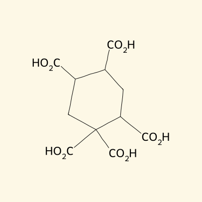 O=C(O)C1CC(C(=O)O)C(C(=O)O)(C(=O)O)CC1C(=O)O